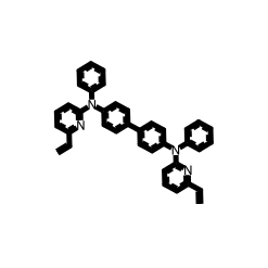 C=Cc1cccc(N(c2ccccc2)c2ccc(-c3ccc(N(c4ccccc4)c4cccc(C=C)n4)cc3)cc2)n1